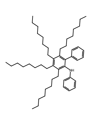 CCCCCCCCc1c(CCCCCCCC)c(CCCCCCCC)c(-c2ccccc2)c(Nc2ccccc2)c1CCCCCCCC